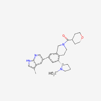 Cc1c[nH]c2ncc(-c3cc4c(c([C@@H]5CCCN5C(=O)O)c3)CCN(C(=O)C3CCOCC3)C4)cc12